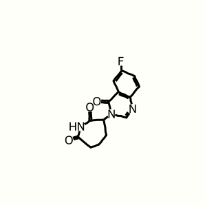 O=C1CCCC(n2cnc3ccc(F)cc3c2=O)C(=O)N1